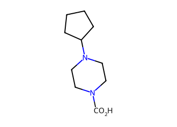 O=C(O)N1CCN(C2CCCC2)CC1